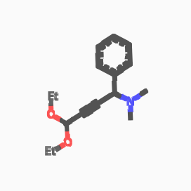 CCOC(C#CC(c1ccccc1)N(C)C)OCC